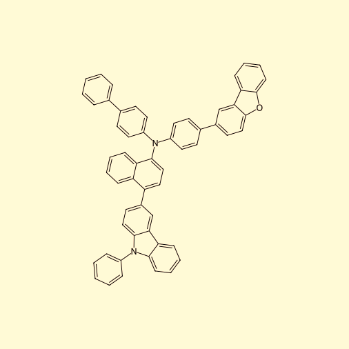 c1ccc(-c2ccc(N(c3ccc(-c4ccc5oc6ccccc6c5c4)cc3)c3ccc(-c4ccc5c(c4)c4ccccc4n5-c4ccccc4)c4ccccc34)cc2)cc1